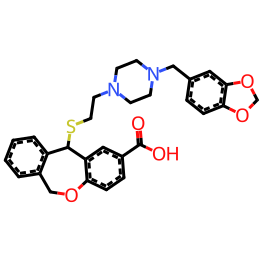 O=C(O)c1ccc2c(c1)C(SCCN1CCN(Cc3ccc4c(c3)OCO4)CC1)c1ccccc1CO2